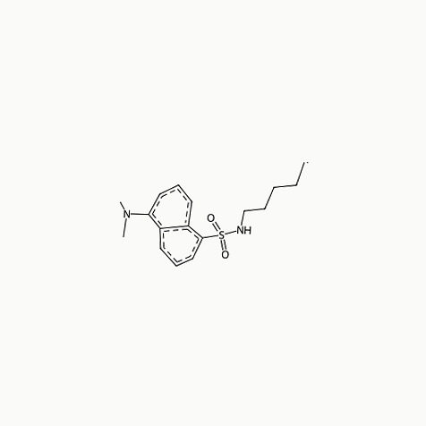 [CH2]CCCCNS(=O)(=O)c1cccc2c(N(C)C)cccc12